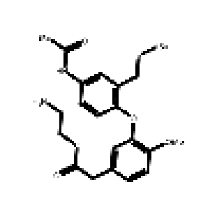 COc1ccc(CC(=O)OCCN)cc1Oc1ccc(NC(=O)C(C)(C)C)cc1CSC(C)(C)C